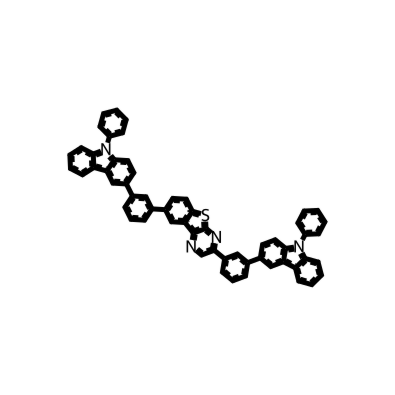 c1ccc(-n2c3ccccc3c3cc(-c4cccc(-c5ccc6sc7nc(-c8cccc(-c9ccc%10c(c9)c9ccccc9n%10-c9ccccc9)c8)cnc7c6c5)c4)ccc32)cc1